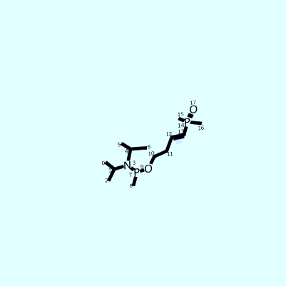 CC(C)N(C(C)C)P(C)OCC/C=C/P(C)(C)=O